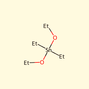 CC[O][Sn]([CH2]C)([CH2]C)[O]CC